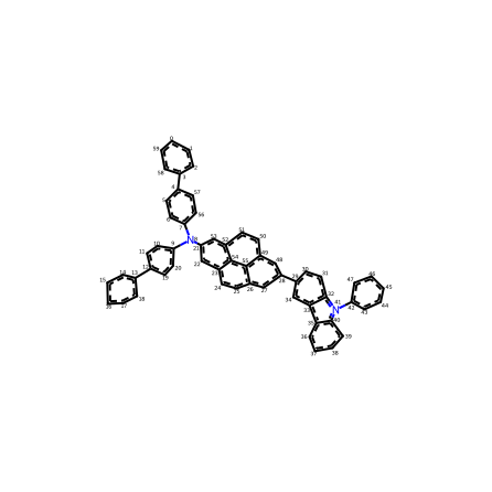 c1ccc(-c2ccc(N(c3ccc(-c4ccccc4)cc3)c3cc4ccc5cc(-c6ccc7c(c6)c6ccccc6n7-c6ccccc6)cc6ccc(c3)c4c56)cc2)cc1